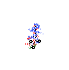 N=C(N)NC(NC(=O)C(NC(=N)N)NC(=O)C(NC(=N)N)NC(=O)C(NC(=N)N)NC(=O)C(NC(=O)C(O)N(Cc1c(Cl)cccc1Cl)c1ccc([N+](=O)[O-])cc1C(=O)O)c1ccccc1)C(N)=O